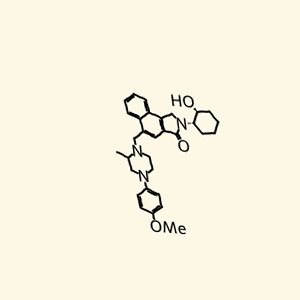 COc1ccc(N2CCN(Cc3cc4c(c5ccccc35)CN([C@H]3CCCC[C@@H]3O)C4=O)C(C)C2)cc1